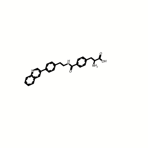 NC(Cc1ccc(C(=O)NCCc2ccc(-c3cnc4ccccc4c3)cc2)cc1)C(=O)O